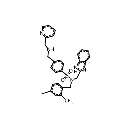 O=S(=O)(c1ccc(CNCc2ccccn2)cc1)N(Cc1nc2ccccc2[nH]1)Cc1ccc(F)cc1C(F)(F)F